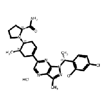 Cc1nn([C@H](C)c2ccc(Cl)cc2Cl)c2nc(C3=CC[C@H](N4CCC[C@H]4C(N)=O)[C@H](C)C3)cnc12.Cl